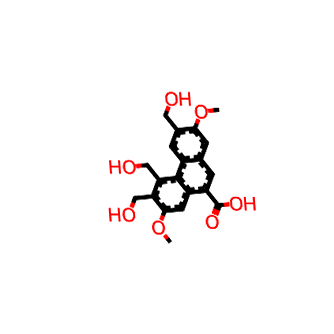 COc1cc2cc(C(=O)O)c3cc(OC)c(CO)c(CO)c3c2cc1CO